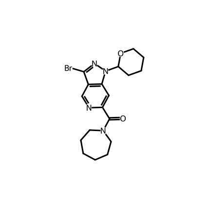 O=C(c1cc2c(cn1)c(Br)nn2C1CCCCO1)N1CCCCCC1